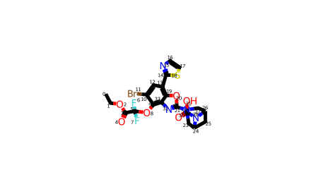 CCOC(=O)C(F)(F)Oc1c(Br)cc(-c2nccs2)c2oc(N3CC4CC(C3)N4C(=O)O)nc12